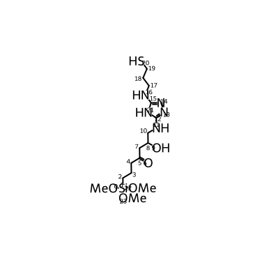 CO[Si](CCCC(=O)CC(O)CNc1nnc(NCCCS)[nH]1)(OC)OC